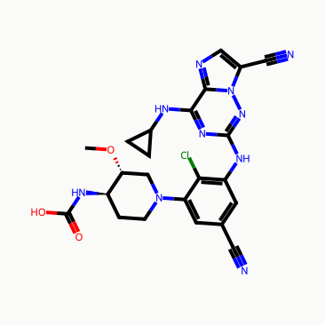 CO[C@@H]1CN(c2cc(C#N)cc(Nc3nc(NC4CC4)c4ncc(C#N)n4n3)c2Cl)CC[C@H]1NC(=O)O